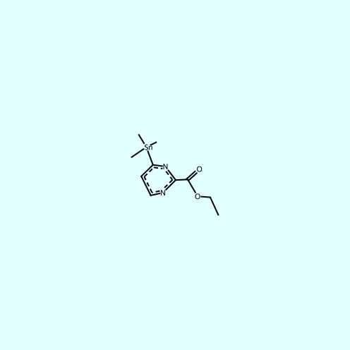 CCOC(=O)c1ncc[c]([Sn]([CH3])([CH3])[CH3])n1